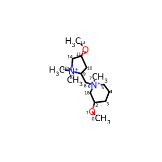 COC1CCC[N+](C)(CC2CC(OC)C[N+]2(C)C)C1